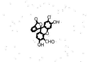 O=Cc1c(O)ccc2c1Oc1cc(O)c(Cl)cc1C21OC(=O)c2ccccc21